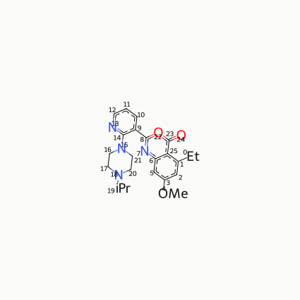 CCc1cc(OC)cc2nc(-c3cccnc3N3CCN(C(C)C)CC3)oc(=O)c12